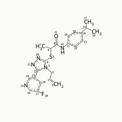 C=CCn1c(SC(C)C(=O)Nc2ccc(C(C)C)cc2)nnc1-c1cncc(F)c1